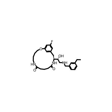 CCc1cccc(CNC[C@@H](O)[C@@H]2Cc3cc(F)cc(c3)OCCCCNC(=O)CCCC(=O)N2)c1